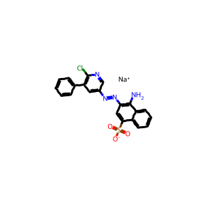 Nc1c(N=Nc2cnc(Cl)c(-c3ccccc3)c2)cc(S(=O)(=O)[O-])c2ccccc12.[Na+]